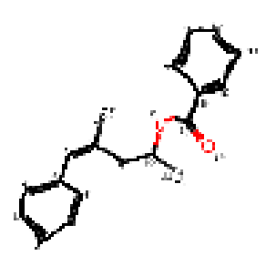 CCC(=Cc1ccccc1)CC(CC)OC(=O)c1ccccc1